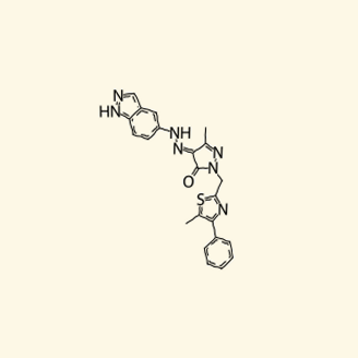 CC1=NN(Cc2nc(-c3ccccc3)c(C)s2)C(=O)/C1=N/Nc1ccc2[nH]ncc2c1